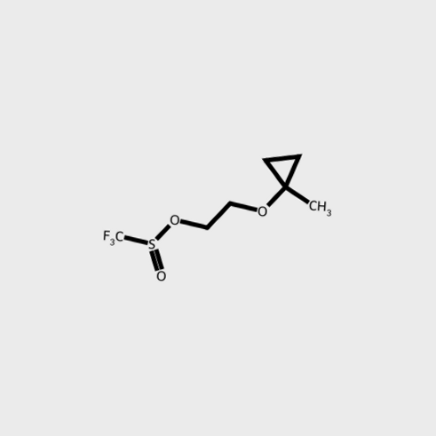 CC1(OCCOS(=O)C(F)(F)F)CC1